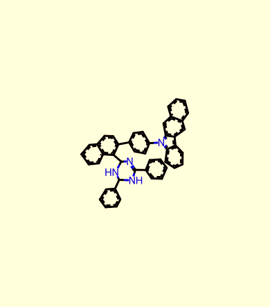 c1ccc(C2=NC(c3c(-c4ccc(-n5c6ccccc6c6cc7ccccc7cc65)cc4)ccc4ccccc34)NC(c3ccccc3)N2)cc1